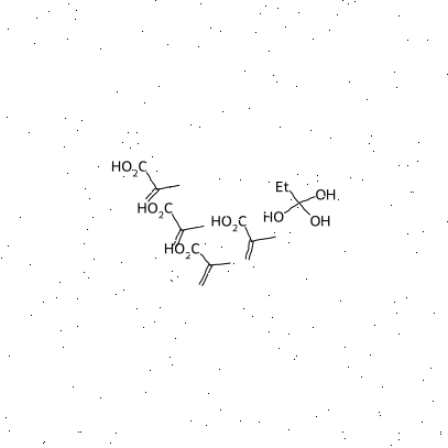 C=C(C)C(=O)O.C=C(C)C(=O)O.C=C(C)C(=O)O.C=C(C)C(=O)O.CCC(O)(O)O